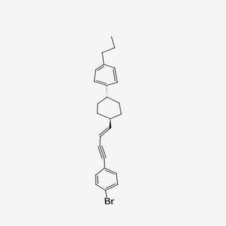 CCCc1ccc([C@H]2CC[C@H](C=CC#Cc3ccc(Br)cc3)CC2)cc1